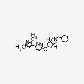 Cc1nn(C)cc1-c1ccc(OC2C[C@@H]3CN(CC4CCCCC4)C[C@@H]3C2)nn1